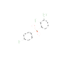 O=S(=O)(c1ccc(F)cc1)c1cccc(Br)c1F